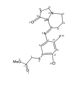 COC(=O)CSc1cc(N=C2CCCN3CSC(=O)N23)c(F)cc1Cl